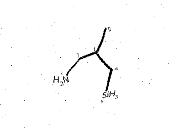 CC(CN)C[SiH3]